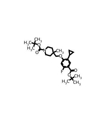 CC1(COc2cc(F)c(C(=O)OC(C)(C)C)cc2C2CC2)CCN(C(=O)OC(C)(C)C)CC1